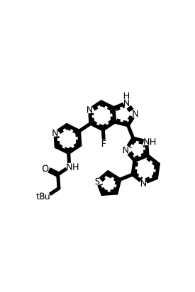 CC(C)(C)CC(=O)Nc1cncc(-c2ncc3[nH]nc(-c4nc5c(-c6ccsc6)nccc5[nH]4)c3c2F)c1